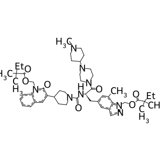 CCC(C)(C)C(=O)OCn1ncc2cc(C[C@@H](NC(=O)N3CCC(c4cc5ccccc5n(COC(=O)C(C)(C)CC)c4=O)CC3)C(=O)N3CCN(C4CCN(C)CC4)CC3)cc(C)c21